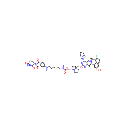 C#Cc1c(F)ccc2cc(O)cc(-c3ncc4c(N5CC6CCC(C5)N6)nc(OC[C@@]56CCCN5[C@H](COC(=O)NCCCCCCNc5ccc7c(c5)C(=O)N(C5CCC(=O)NC5=O)C7=O)CC6)nc4c3F)c12